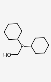 OCP(C1CCCCC1)C1CCCCC1